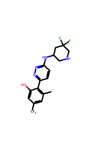 Cc1cc(C(F)(F)F)cc(O)c1-c1ccc(NC2CNCC(F)(F)C2)nn1